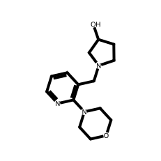 OC1CCN(Cc2[c]ccnc2N2CCOCC2)C1